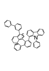 c1cccc(-c2cccc(-c3cccc4c5ccccc5n(-c5ccccc5)c34)c2-c2sc(-c3cccc(-c4ccccc4)c3)c3c2CCC=C3)c#1